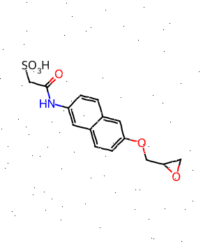 O=C(CS(=O)(=O)O)Nc1ccc2cc(OCC3CO3)ccc2c1